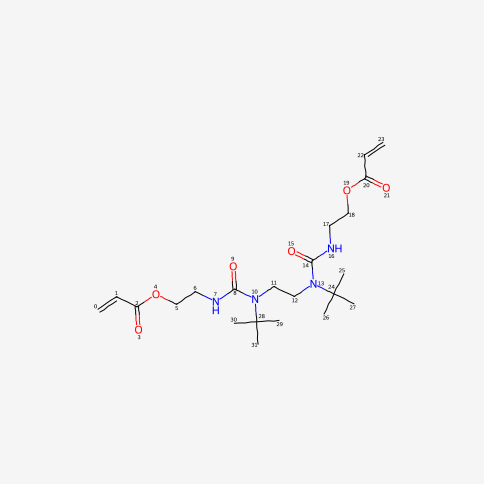 C=CC(=O)OCCNC(=O)N(CCN(C(=O)NCCOC(=O)C=C)C(C)(C)C)C(C)(C)C